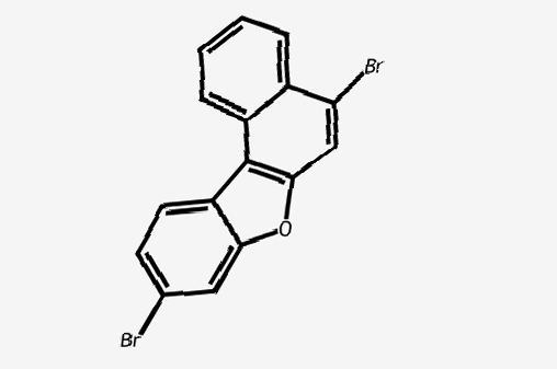 Brc1ccc2c(c1)oc1cc(Br)c3ccccc3c12